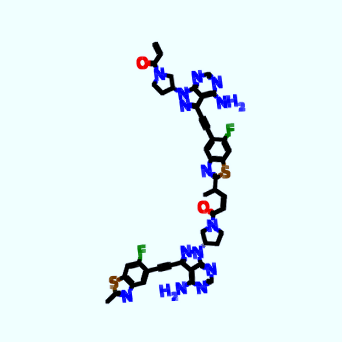 C=CC(=O)N1CC[C@H](n2nc(C#Cc3cc4nc(C(C)/C=C\C(=O)N5CC[C@H](n6nc(C#Cc7cc8nc(C)sc8cc7F)c7c(N)ncnc76)C5)sc4cc3F)c3c(N)ncnc32)C1